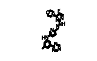 Cc1cc(Nc2ccc(/C=N/Nc3ncc(F)c(N4CCOCC4)n3)nc2)cc(-c2ncncn2)c1